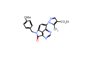 CCOC(=O)c1cnn(-c2ccc3c4c(ncnc24)C(=O)N3Cc2ccc(OC)cc2)c1C(F)(F)F